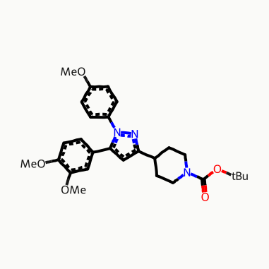 COc1ccc(-n2nc(C3CCN(C(=O)OC(C)(C)C)CC3)cc2-c2ccc(OC)c(OC)c2)cc1